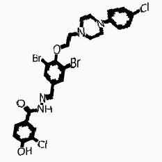 O=C(N/N=C/c1cc(Br)c(OCCN2CCN(c3ccc(Cl)cc3)CC2)c(Br)c1)c1ccc(O)c(Cl)c1